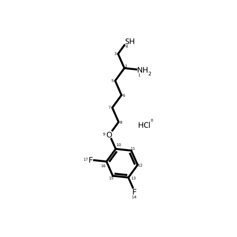 Cl.NC(CS)CCCCOc1ccc(F)cc1F